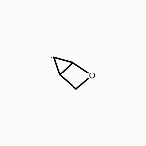 [CH]1C2COC12